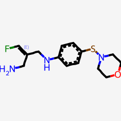 NC/C(=C\F)CNc1ccc(SN2CCOCC2)cc1